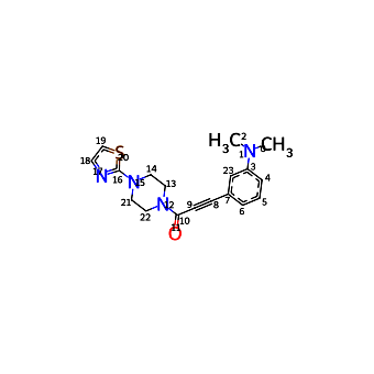 CN(C)c1cccc(C#CC(=O)N2CCN(c3nccs3)CC2)c1